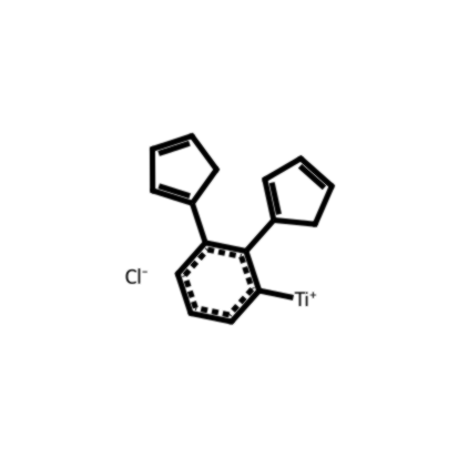 [Cl-].[Ti+][c]1cccc(C2=CC=CC2)c1C1=CC=CC1